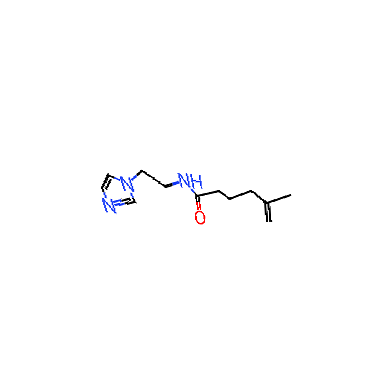 C=C(C)CCCC(=O)NCCn1ccnc1